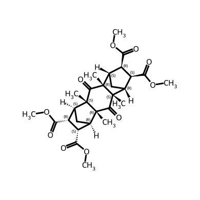 COC(=O)[C@@H]1[C@H](C(=O)OC)[C@@H]2C[C@H]1[C@]1(C)C(=O)[C@]3(C)[C@@H]4C[C@@H]([C@@H](C(=O)OC)[C@H]4C(=O)OC)[C@]3(C)C(=O)[C@]21C